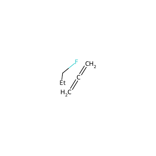 C=C=C.CCCF